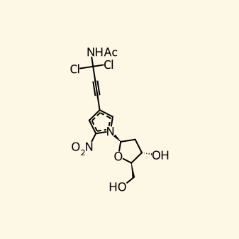 CC(=O)NC(Cl)(Cl)C#Cc1cc([N+](=O)[O-])n([C@H]2C[C@H](O)[C@@H](CO)O2)c1